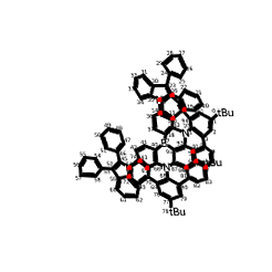 CC(C)(C)c1cc(-c2ccccc2)c(N2c3cc(-n4c(-c5ccccc5)c(-c5ccccc5)c5ccccc54)ccc3B3c4ccc(-n5c(-c6ccccc6)c(-c6ccccc6)c6ccccc65)cc4N(c4c(-c5ccccc5)cc(C(C)(C)C)cc4-c4ccccc4)c4cc(C(C)(C)C)cc2c43)c(-c2ccccc2)c1